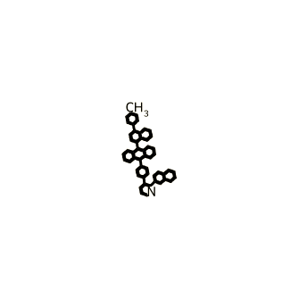 Cc1ccc(-c2ccc(-c3c4ccccc4c(-c4ccc(-c5cccnc5-c5ccc6ccccc6c5)cc4)c4ccccc34)c3ccccc23)cc1